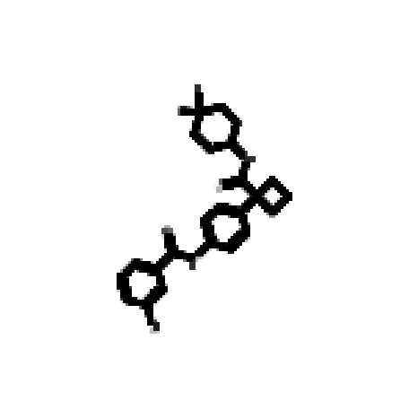 O=C(Nc1ccc(C2(C(=O)NC3CCC(F)(F)CC3)CCC2)cc1)c1cccc(Cl)c1